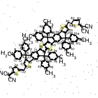 Cc1ccc(C2(c3ccc(C)cc3)c3cc4c(cc3-c3sc(/C=c5\ccc(=C(C#N)C#N)s5)cc32)C(c2ccc(C)cc2)(c2ccc(C)cc2)c2c-4sc3c4c(sc23)-c2cc3c(cc2C4(c2ccc(C)cc2)c2ccc(C)cc2)-c2sc(CC4C=CC(=C(C#N)C#N)S4)cc2C3(c2ccc(C)cc2)c2ccc(C)cc2)cc1